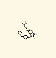 COC(C)CCOC1=NCC2NC(=O)N(Cc3ccc(CN4CCCC4)cc3)C2=N1